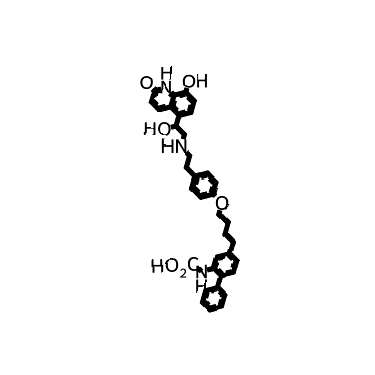 O=C(O)Nc1cc(CCCCOc2ccc(CCNCC(O)c3ccc(O)c4[nH]c(=O)ccc34)cc2)ccc1-c1ccccc1